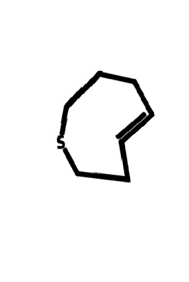 C1=C/CCSCCC/1